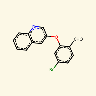 O=Cc1ccc(Br)cc1Oc1cnc2ccccc2c1